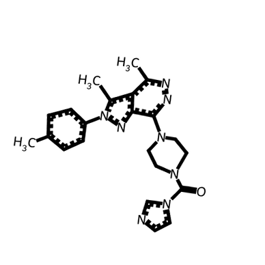 Cc1ccc(-n2nc3c(N4CCN(C(=O)n5ccnc5)CC4)nnc(C)c3c2C)cc1